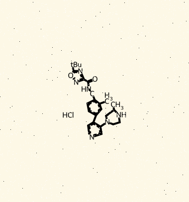 Cc1cc(-c2ccncc2N2CCNC(C)C2)ccc1CNC(=O)c1noc(C(C)(C)C)n1.Cl